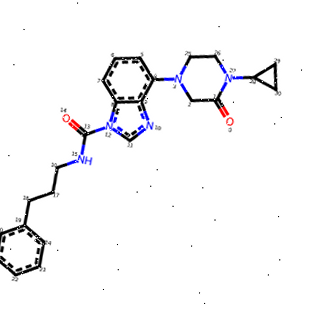 O=C1CN(c2cccc3c2ncn3C(=O)NCCCc2ccccc2)CCN1C1CC1